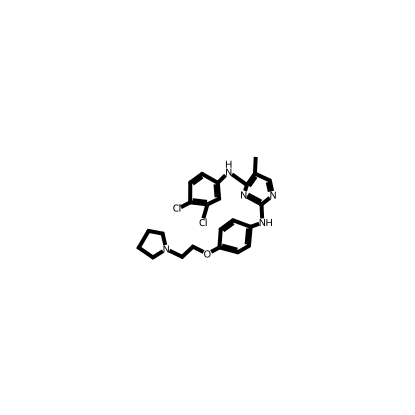 Cc1cnc(Nc2ccc(OCCN3CCCC3)cc2)nc1Nc1ccc(Cl)c(Cl)c1